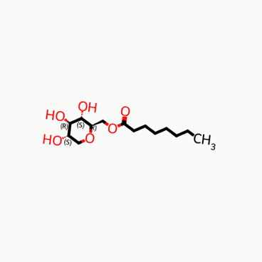 CCCCCCCC(=O)OC[C@H]1OC[C@H](O)[C@@H](O)[C@@H]1O